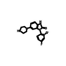 O=c1[nH]c2ccc(N3CCNCC3)cc2n1-c1ccc(F)c[n+]1[O-]